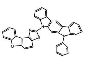 c1ccc(-n2c3ccccc3c3cc4c5ccccc5n(-c5nc6c(ccc7oc8ccccc8c76)s5)c4cc32)cc1